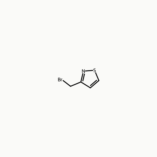 BrCc1ccsn1